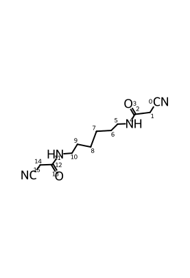 N#CCC(=O)NCCCCCCNC(=O)CC#N